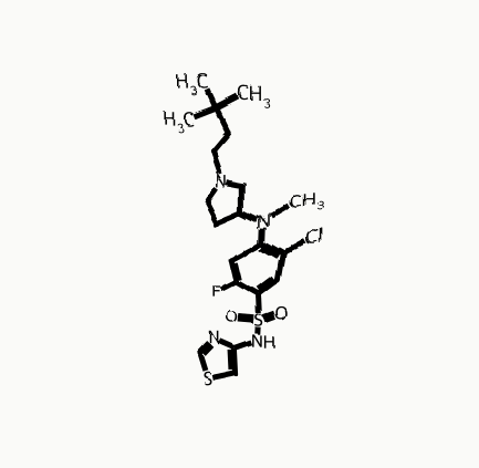 CN(c1cc(F)c(S(=O)(=O)Nc2cscn2)cc1Cl)C1CCN(CCC(C)(C)C)C1